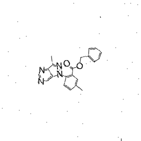 Cc1ccc(-n2nc(C)c3ncncc32)c(C(=O)OCc2ccccc2)c1